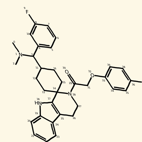 CN(C)C(c1cccc(F)c1)C1CCC2(CC1)c1[nH]c3ccccc3c1CCN2C(=O)COc1ccc(Cl)cc1